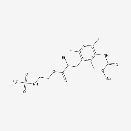 CCC(Cc1c(I)cc(I)c(NC(=O)OC(C)(C)C)c1I)C(=O)OCCNS(=O)(=O)C(F)(F)F